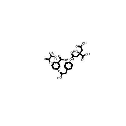 CC(O)C(=O)O.O=C(O)CC(O)(CC(=O)O)C(=O)O.O=C(O)Cc1ccccc1.O=C(O)c1ccccc1